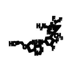 C#CCOc1cnc2c(Nc3cc(F)c(F)c([C@@]4(C)N=C(N)S[C@@]5(C(F)F)C[C@@H]45)c3)ncnc2c1